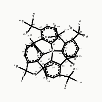 FC(F)(F)c1cccc([B-](c2cccc(C(F)(F)F)c2C(F)(F)F)(c2cccc(C(F)(F)F)c2C(F)(F)F)c2cccc(C(F)(F)F)c2C(F)(F)F)c1C(F)(F)F